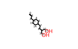 C=CCC1CCC(CCC(CO)CO)CC1